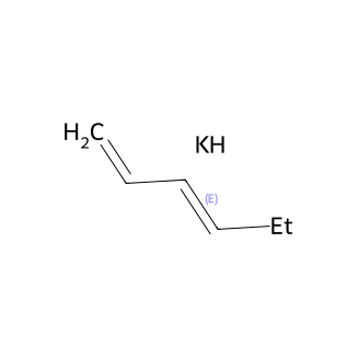 C=C/C=C/CC.[KH]